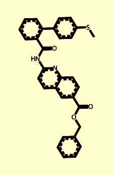 CSc1ccc(-c2ccccc2C(=O)Nc2ccc3cc(C(=O)OCc4ccccc4)ccc3n2)cc1